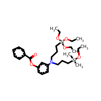 CCO[Si](C)(C)CCCN(CCC[Si](OCC)(OCC)OCC)c1cccc(OC(=O)c2ccccc2)c1